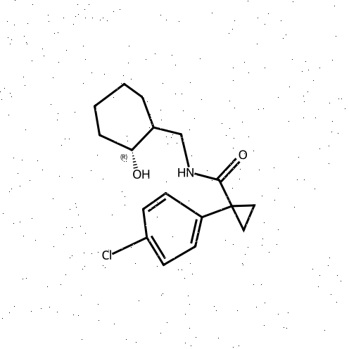 O=C(NCC1CCCC[C@H]1O)C1(c2ccc(Cl)cc2)CC1